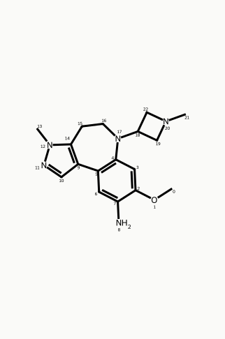 COc1cc2c(cc1N)-c1cnn(C)c1CCN2C1CN(C)C1